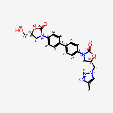 Cc1cn(C[C@H]2CN(c3ccc(-c4ccc(N5C[C@H](CO)OC5=O)cc4)cc3)C(=O)O2)nn1